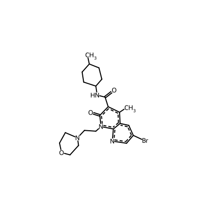 Cc1c(C(=O)NC2CCC(C)CC2)c(=O)n(CCN2CCOCC2)c2ncc(Br)cc12